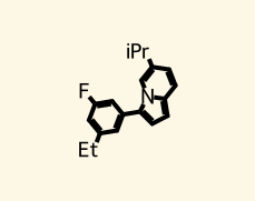 CCc1cc(F)cc(-c2ccc3ccc(C(C)C)cn23)c1